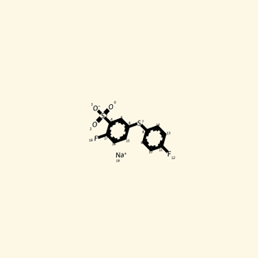 O=S(=O)([O-])c1cc(Sc2ccc(F)cc2)ccc1F.[Na+]